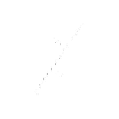 CCCCCCCCC(CCCCCCC(CCCCCCCCF)CC[Si](Cl)(Cl)Cl)CC[Si](Cl)(Cl)Cl